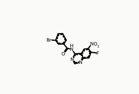 O=C(Nc1ncnc2cc(F)c([N+](=O)[O-])cc12)c1cccc(Br)c1